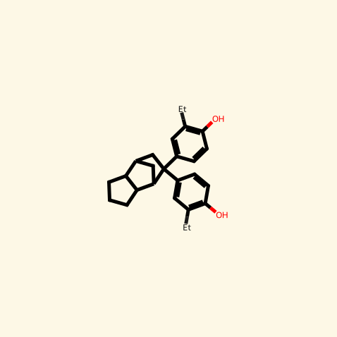 CCc1cc(C2(c3ccc(O)c(CC)c3)CC3CC2C2CCCC32)ccc1O